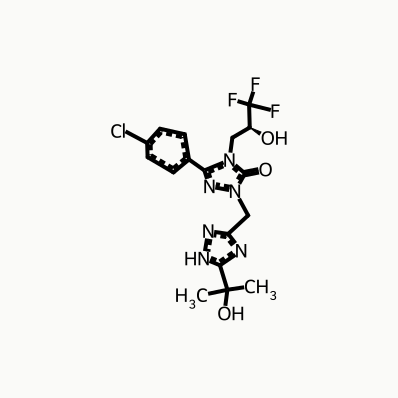 CC(C)(O)c1nc(Cn2nc(-c3ccc(Cl)cc3)n(C[C@H](O)C(F)(F)F)c2=O)n[nH]1